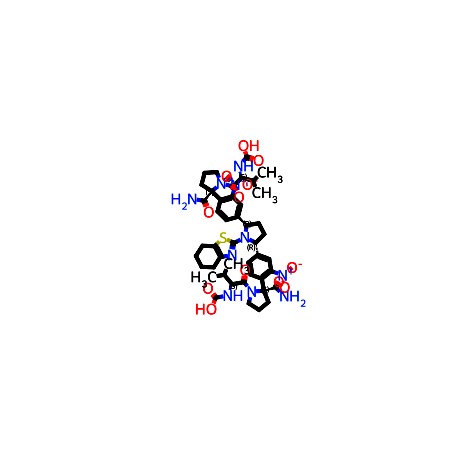 CC(C)[C@H](NC(=O)O)C(=O)N1CCC[C@@]1(C(N)=O)c1ccc([C@H]2CC[C@H](c3ccc([C@]4(C(N)=O)CCCN4C(=O)[C@@H](NC(=O)O)C(C)C)c([N+](=O)[O-])c3)N2c2nc3c(s2)CCCC3)cc1[N+](=O)[O-]